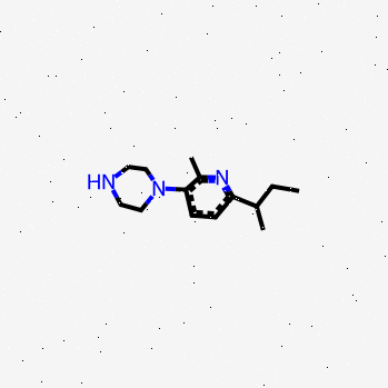 CCC(C)c1ccc(N2CCNCC2)c(C)n1